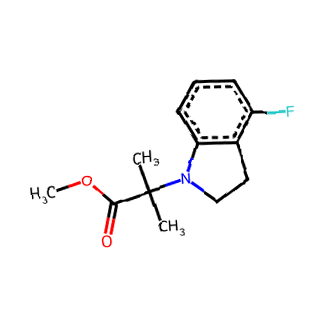 COC(=O)C(C)(C)N1CCc2c(F)cccc21